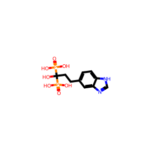 O=P(O)(O)C(O)(CCc1ccc2[nH]cnc2c1)P(=O)(O)O